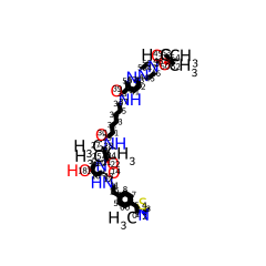 Cc1ncsc1-c1ccc(CCNC(=O)[C@@H]2C[C@@H](O)CN2C(=O)C(C)(C)[C@H](C)NC(=O)CCCCCCNC(=O)c2ccc(N3CCN(C(=O)OC(C)(C)C)CC3)nc2)cc1